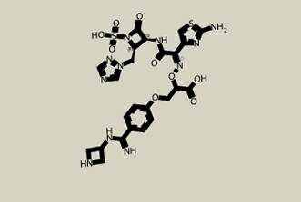 N=C(NC1CNC1)c1ccc(OCC(O/N=C(\C(=O)N[C@@H]2C(=O)N(S(=O)(=O)O)[C@@H]2Cn2cncn2)c2csc(N)n2)C(=O)O)cc1